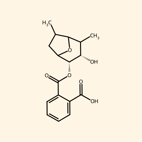 CC1CC2OC1C(C)[C@H](O)[C@@H]2OC(=O)c1ccccc1C(=O)O